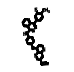 COc1cnc2c(Oc3ccc(Nc4nnc(-c5ccc(C)c(F)c5)c5ccccc45)cc3)ccnc2c1